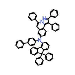 c1ccc(-c2ccc(N(c3ccc4c(c3)cc(-c3ccccc3)n3nc(-c5ccccc5)c(-c5ccccc5)c43)c3cccc4c3-c3ccccc3C4(c3ccccc3)c3ccccc3)cc2)cc1